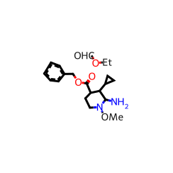 CCOC=O.CON1CCC(C(=O)OCc2ccccc2)C(C2CC2)C1N